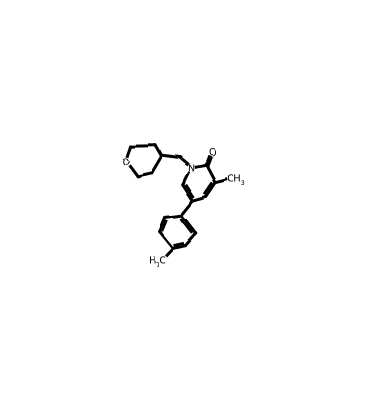 Cc1ccc(-c2cc(C)c(=O)n(CC3CCOCC3)c2)cc1